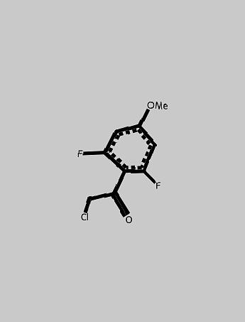 COc1cc(F)c(C(=O)CCl)c(F)c1